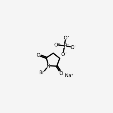 O=C1CCC(=O)N1Br.[Na+].[O-][I+3]([O-])([O-])[O-]